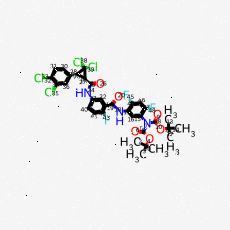 CC(C)(C)OC(=O)N(C(=O)OC(C)(C)C)c1cc(NC(=O)c2cc(NC(=O)[C@H]3[C@H](c4ccc(Cl)c(Cl)c4)C3(Cl)Cl)ccc2F)c(F)cc1F